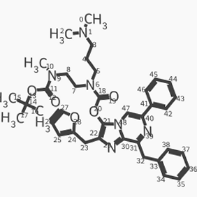 CN(C)CCCN(CCN(C)C(=O)OC(C)(C)C)C(=O)Oc1c(Cc2cc#co2)nc2c(Cc3ccccc3)nc(-c3ccccc3)cn12